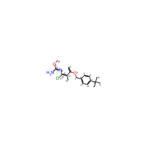 C=C(OCc1ccc(C(C)(C)C)cc1)/C(C)=C(Cl)\N=C(/N)OC